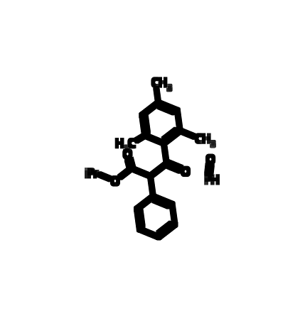 Cc1cc(C)c(C(=O)C(C(=O)OC(C)C)c2ccccc2)c(C)c1.O=P